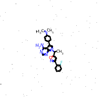 CC(c1cc(-c2ccccc2F)no1)n1cc(-c2ccc(N(C)C)cc2)c2c(N)ncnc21